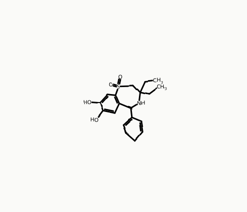 CCC1(CC)CS(=O)(=O)c2cc(O)c(O)cc2C(C2=CCCC=C2)N1